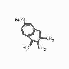 C=C1C(=C)C(C)=CC2=C=C1C=CC(NC)=C2